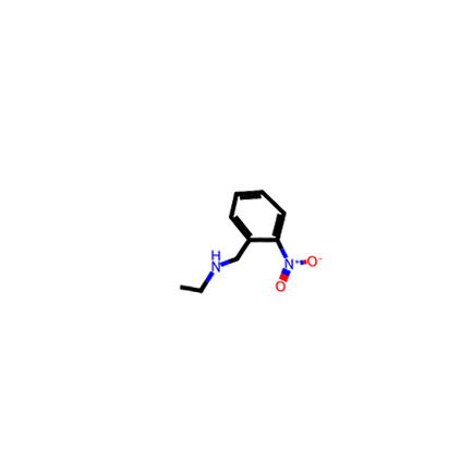 CCNCc1ccccc1[N+](=O)[O-]